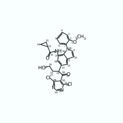 COc1ccccc1-n1ccc2cc(C(CCO)C(=O)c3c(Cl)ncnc3Cl)cc(NC(=O)C3CC3)c21